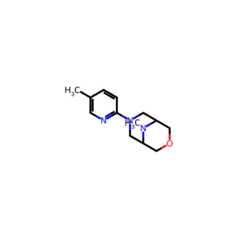 Cc1ccc(N2CC3COCC(C2)N3C)nc1